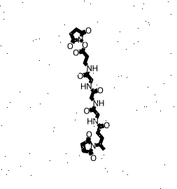 CC(CCC(=O)NCC(=O)NCC(=O)NCC(=O)NCCC(=O)ON1C(=O)CCC1=O)N1C(=O)C=CC1=O